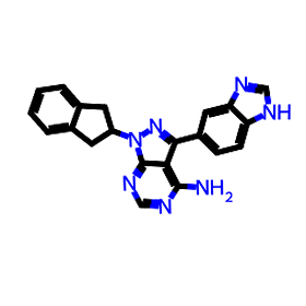 Nc1ncnc2c1c(-c1ccc3[nH]cnc3c1)nn2C1Cc2ccccc2C1